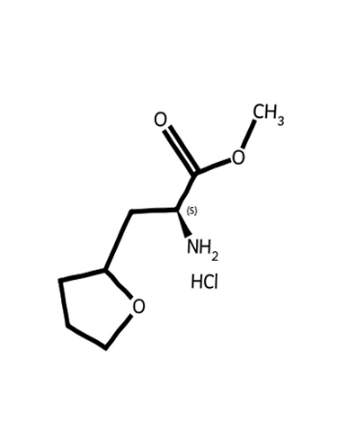 COC(=O)[C@@H](N)CC1CCCO1.Cl